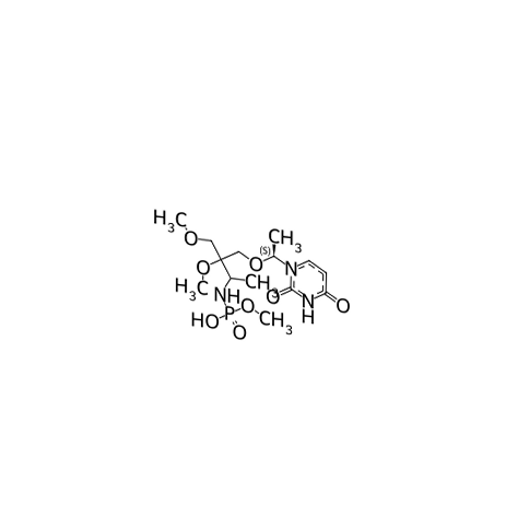 COCC(CO[C@@H](C)n1ccc(=O)[nH]c1=O)(OC)C(C)NP(=O)(O)OC